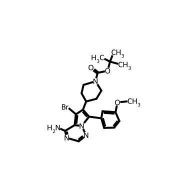 COc1cccc(-c2c(C3CCN(C(=O)OC(C)(C)C)CC3)c(Br)c3c(N)ncnn23)c1